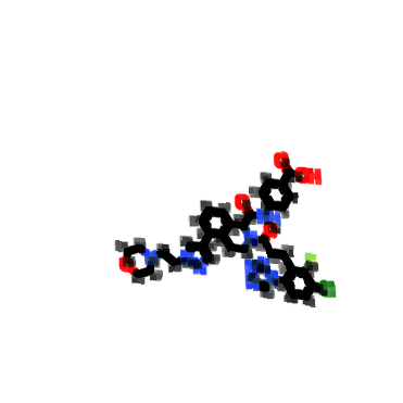 O=C(O)c1ccc(NC(=O)C2c3cccc(-c4cnn(CCN5CCOCC5)c4)c3CCN2C(=O)C=Cc2c(-n3cnnn3)ccc(Cl)c2F)cc1